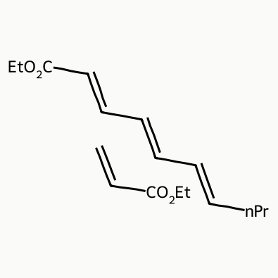 C=CC(=O)OCC.CCCC=CC=CC=CC(=O)OCC